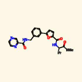 CNC(=O)C(NC(=O)c1ccc(-c2cccc(CNC(=O)c3cnccn3)c2)o1)C(C)C